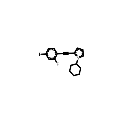 Fc1ccc(C#Cc2cccn2C2CCCCC2)c(F)c1